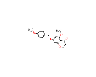 COc1ccc(COc2cc(OC)c3c(c2)OCCC3=O)cc1